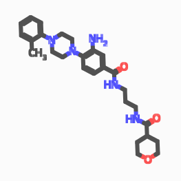 Cc1ccccc1N1CCN(c2ccc(C(=O)NCCCNC(=O)C3CCOCC3)cc2N)CC1